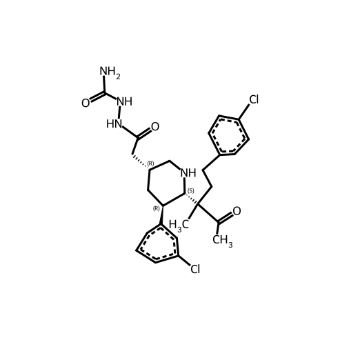 CC(=O)C(C)(CCc1ccc(Cl)cc1)[C@H]1NC[C@@H](CC(=O)NNC(N)=O)C[C@@H]1c1cccc(Cl)c1